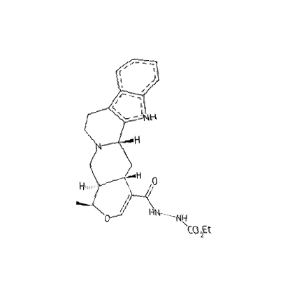 CCOC(=O)NNC(=O)C1=CO[C@@H](C)[C@H]2CN3CCc4c([nH]c5ccccc45)[C@@H]3C[C@H]12